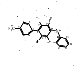 Fc1c(F)c(-c2ccc(C(F)(F)F)cc2)c(F)c(F)c1Nc1ccccc1